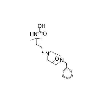 CC(C)(CCCN1CC2CN(Cc3ccccc3)CC(C1)O2)NC(=O)O